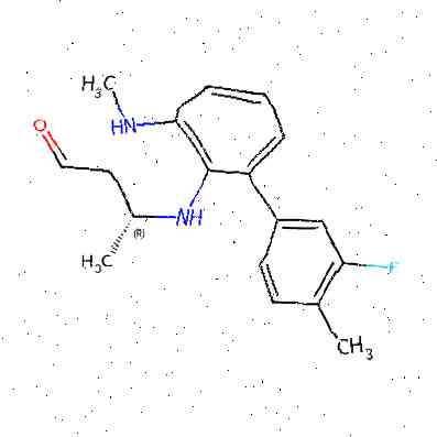 CNc1cccc(-c2ccc(C)c(F)c2)c1N[C@H](C)CC=O